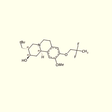 COc1cc2c(cc1OCC(C)(F)F)CCN1C[C@@H](CC(C)(C)C)[C@H](O)C[C@H]21